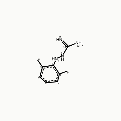 Cc1cccc(C)c1NNC(=N)N